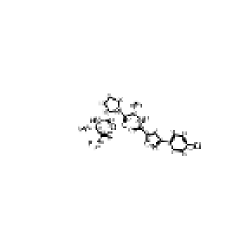 CC(C)[C@H](NC(=O)c1cc(-c2ccc(Cl)cc2)no1)C(=O)N1CCC[C@H]1C(=O)N[C@H](C(=O)C(F)(F)F)C(C)C